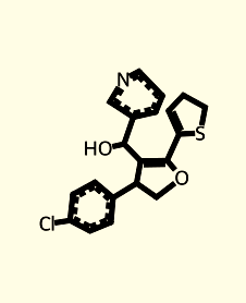 OC(C1=C(C2=CCCS2)OCC1c1ccc(Cl)cc1)c1cccnc1